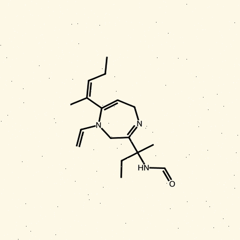 C=CN1CC(C(C)(CC)NC=O)=NCC=C1/C(C)=C\CC